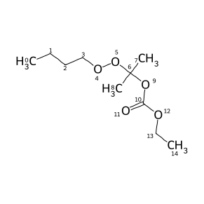 CCCCOOC(C)(C)OC(=O)OCC